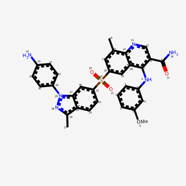 COc1cccc(Nc2c(C(N)=O)cnc3c(C)cc(S(=O)(=O)c4ccc5c(C)nn(-c6ccc(N)cc6)c5c4)cc23)c1